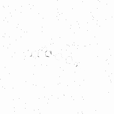 Cn1nc(C2CCC(=O)NC2=O)c2ccc(N3CCN([C@H]4CC[C@H](NC(=O)OC(C)(C)C)CC4)CC3)cc21